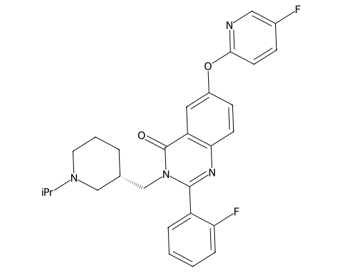 CC(C)N1CCC[C@H](Cn2c(-c3ccccc3F)nc3ccc(Oc4ccc(F)cn4)cc3c2=O)C1